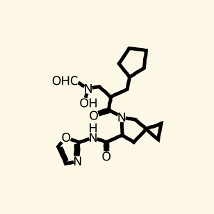 O=CN(O)CC(CC1CCCC1)C(=O)N1CC2(CC2)CC1C(=O)Nc1ncco1